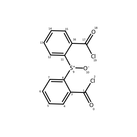 O=C(Cl)c1ccccc1[S+]([O-])c1ccccc1C(=O)Cl